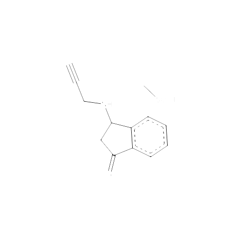 C#CCNC1CC(=O)c2ccccc21.CS(=O)(=O)O